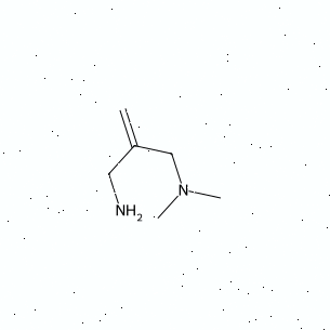 C=C(CN)CN(C)C